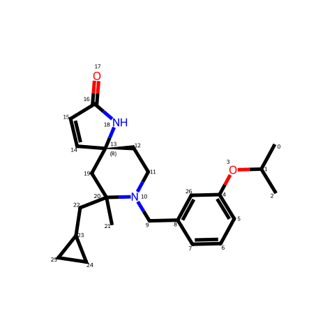 CC(C)Oc1cccc(CN2CC[C@]3(C=CC(=O)N3)CC2(C)CC2CC2)c1